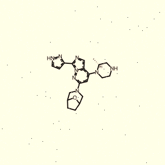 C[C@@H]1CNCCN1c1cc(N2CC3CCC(C2)O3)nn2c(-c3cc[nH]n3)ncc12